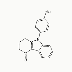 CC(C)(C)c1ccc(-n2c3c(c4ccccc42)C(=O)CCC3)cc1